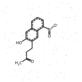 CC(=O)CCc1cc2c([N+](=O)[O-])cccc2cc1O